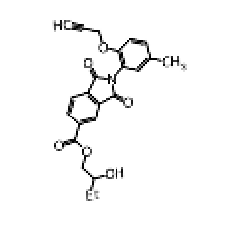 C#CCOc1ccc(C)cc1N1C(=O)c2ccc(C(=O)OCC(O)CC)cc2C1=O